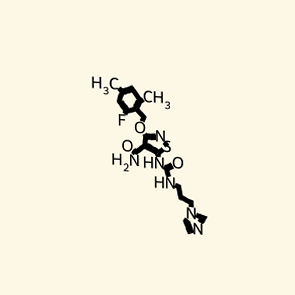 Cc1cc(C)c(COc2nsc(NC(=O)NCCCn3ccnc3)c2C(N)=O)c(F)c1